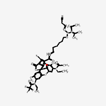 CCN(C(C)=O)c1cc2c(cc1C)C1(OC(=O)c3c(F)cc(C(=O)NCCCCCCOP(OCCC#N)N(C(C)C)C(C)C)c(F)c31)c1cc(C)c(N(CC)C(=O)C(F)(F)F)cc1O2